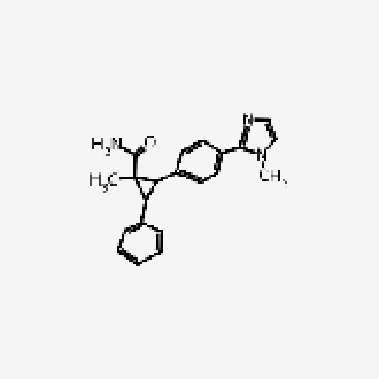 Cn1ccnc1-c1ccc(C2C(c3ccccc3)C2(C)C(N)=O)cc1